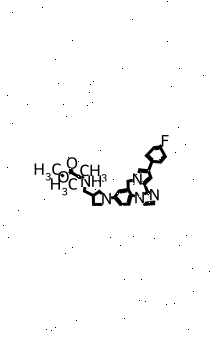 COC(=O)C(C)(C)NCC1CCN(c2ccc3c(c2)Cn2cc(-c4ccc(F)cc4)cc2-c2nccn2-3)C1